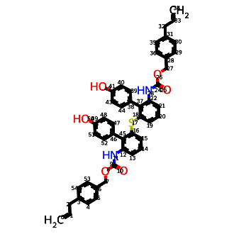 C=CCc1ccc(COC(=O)Nc2cccc(Sc3cccc(NC(=O)OCc4ccc(CC=C)cc4)c3-c3ccc(O)cc3)c2-c2ccc(O)cc2)cc1